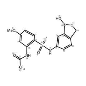 COc1ccc(S(=O)(=O)Nc2ccc3c(c2)B(O)OC3)c(NC(=O)C(F)(F)F)c1